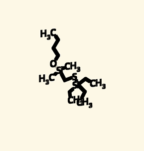 CCCCO[Si](C)(C)CS[Si](CC)(CC)CC